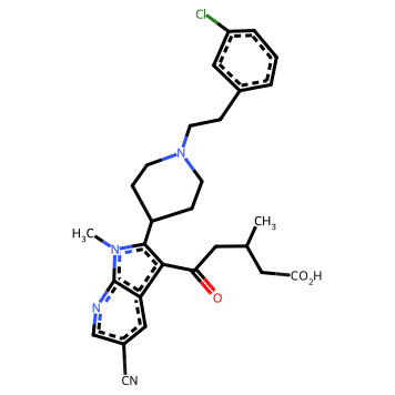 CC(CC(=O)O)CC(=O)c1c(C2CCN(CCc3cccc(Cl)c3)CC2)n(C)c2ncc(C#N)cc12